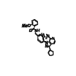 COc1ccccc1C(=O)NCc1ccc(-n2nc(C3CCCC3)c3ccnc(N)c32)cc1